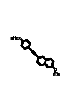 CCCCCCc1ccc(C#Cc2ccc3cc(OCCCC)ccc3c2)cc1